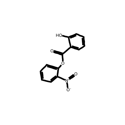 O=C(Oc1ccccc1[N+](=O)[O-])c1ccccc1O